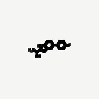 CC(O)c1cc2cc(-c3ccc(F)cc3)ccc2[nH]1